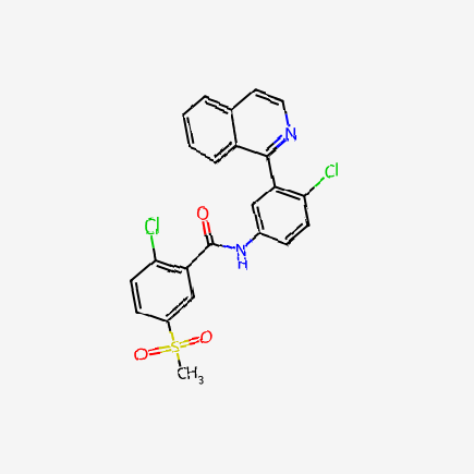 CS(=O)(=O)c1ccc(Cl)c(C(=O)Nc2ccc(Cl)c(-c3nccc4ccccc34)c2)c1